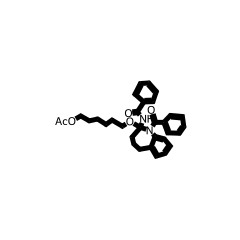 CC(=O)OCCCCCCOC1(NC(=O)c2ccccc2)CCCc2ccccc2N1C(=O)c1ccccc1